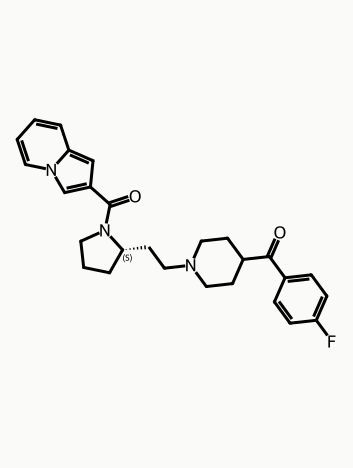 O=C(c1ccc(F)cc1)C1CCN(CC[C@@H]2CCCN2C(=O)c2cc3ccccn3c2)CC1